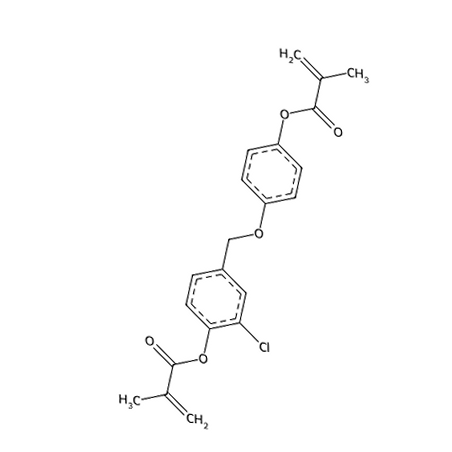 C=C(C)C(=O)Oc1ccc(OCc2ccc(OC(=O)C(=C)C)c(Cl)c2)cc1